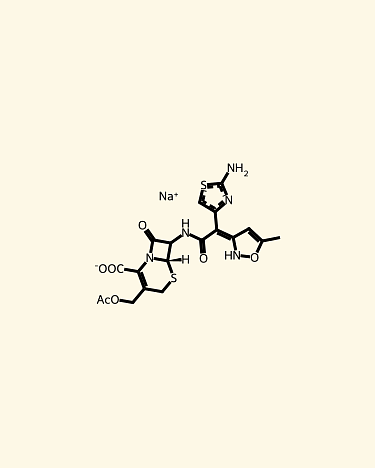 CC(=O)OCC1=C(C(=O)[O-])N2C(=O)C(NC(=O)C(=C3C=C(C)ON3)c3csc(N)n3)[C@@H]2SC1.[Na+]